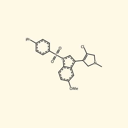 COc1ccc2c(c1)c(C1=C(Cl)CN(C)C1)cn2S(=O)(=O)c1ccc(C(C)C)cc1